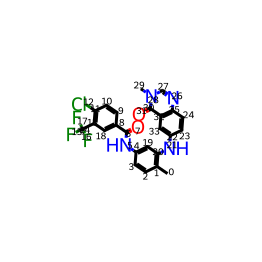 Cc1ccc(NC(=O)c2ccc(Cl)c(C(F)(F)F)c2)cc1Nc1ccc2ncn(C)c(=O)c2c1